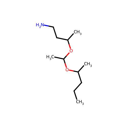 CCCC(C)OC(C)OC(C)CCN